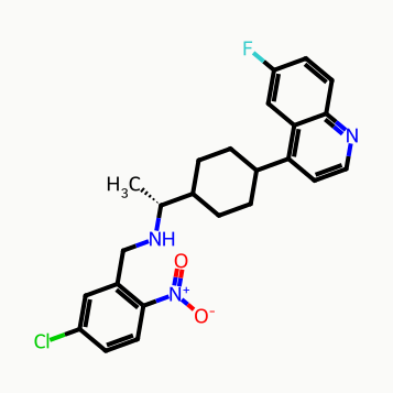 C[C@@H](NCc1cc(Cl)ccc1[N+](=O)[O-])C1CCC(c2ccnc3ccc(F)cc23)CC1